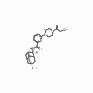 C[C@@H]1CN(C(=O)CO)CCN1c1cccc(C(=O)N[C@H]2C3CC4CC2C[C@](O)(C4)C3)n1